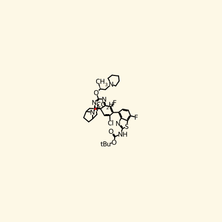 C[C@@H](CN1CCCCC1)Oc1nc(N2C3CCC2CN(C(=O)O)C3)c2cc(Cl)c(-c3ccc(F)c4sc(NC(=O)OC(C)(C)C)nc34)c(F)c2n1